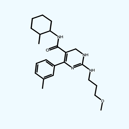 COCCCNC1=NC(c2cccc(C)c2)=C(C(=O)NC2CCCCC2C)CN1